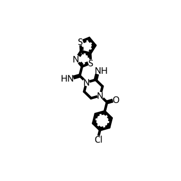 N=C1CN(C(=O)c2ccc(Cl)cc2)CCN1C(=N)c1nc2sccc2s1